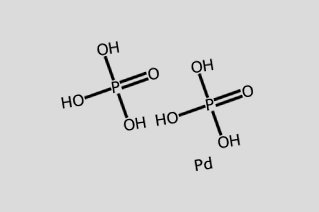 O=P(O)(O)O.O=P(O)(O)O.[Pd]